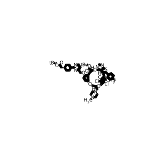 Cc1c(Cl)c2c(Cl)c(C)c1-c1c(-c3ccc(F)cc3)sc3ncnc(c13)O[C@@H](C(=O)OC(C)(C)C)Cc1cc(ccc1OCc1ccnc(C3=CC[C@H](CC(=O)OC(C)(C)C)CC3)n1)OC[C@@H](CN1CCN(C)CC1)O2